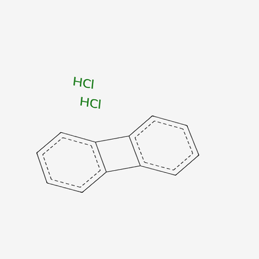 Cl.Cl.c1ccc2c(c1)-c1ccccc1-2